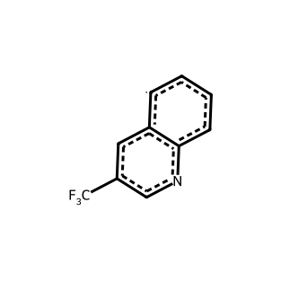 FC(F)(F)c1cnc2ccc[c]c2c1